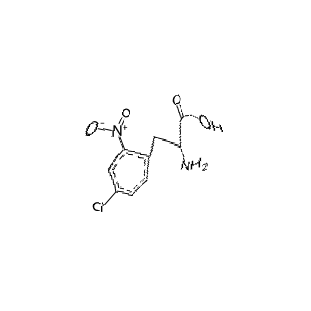 NC(Cc1ccc(Cl)cc1[N+](=O)[O-])C(=O)O